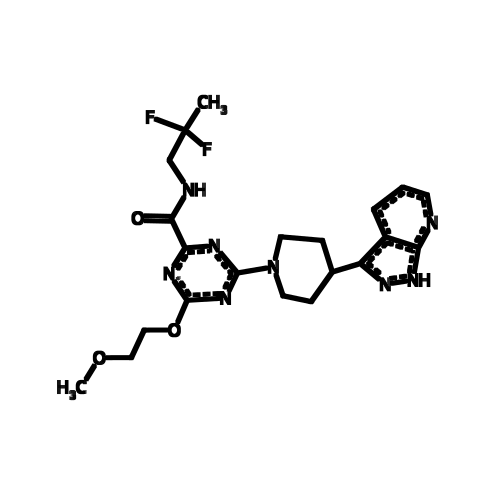 COCCOc1nc(C(=O)NCC(C)(F)F)nc(N2CCC(c3n[nH]c4ncccc34)CC2)n1